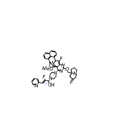 C#Cc1cccc2cccc(-c3nc(OC)c4c(N5CCN(C(O)/C(F)=C/c6ccccn6)CC5)nc(OCC56CCCN5C[C@H](F)C6)nc4c3F)c12